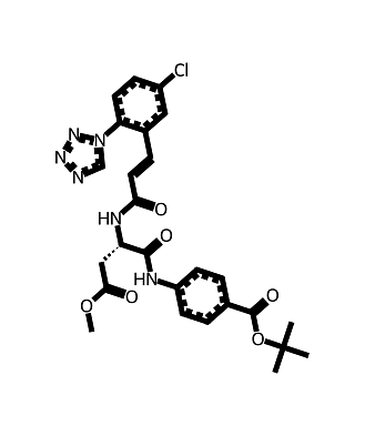 COC(=O)C[C@H](NC(=O)C=Cc1cc(Cl)ccc1-n1cnnn1)C(=O)Nc1ccc(C(=O)OC(C)(C)C)cc1